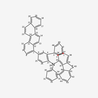 c1ccc(-c2cc(-c3cccc4c3ccc3c5ccccc5ccc43)ccc2N(c2ccccc2)c2cccc3sc4ccccc4c23)cc1